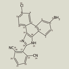 Bc1ccc2c(c1)c1cc(Cl)ccc1c1nc(-c3c(C#N)cccc3C#N)[nH]c21